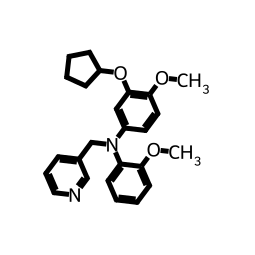 COc1ccc(N(Cc2cccnc2)c2ccccc2OC)cc1OC1CCCC1